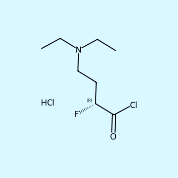 CCN(CC)CC[C@@H](F)C(=O)Cl.Cl